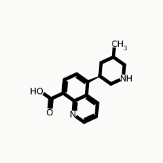 CC1CNC[C@@H](c2ccc(C(=O)O)c3ncccc23)C1